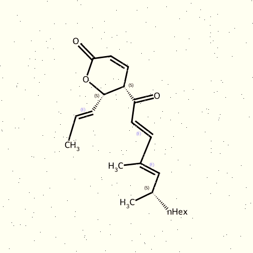 C/C=C/[C@@H]1OC(=O)C=C[C@@H]1C(=O)/C=C/C(C)=C/[C@@H](C)CCCCCC